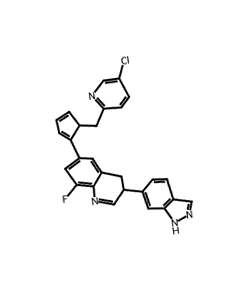 Fc1cc(C2=CC=CC2Cc2ccc(Cl)cn2)cc2c1N=CC(c1ccc3cn[nH]c3c1)C2